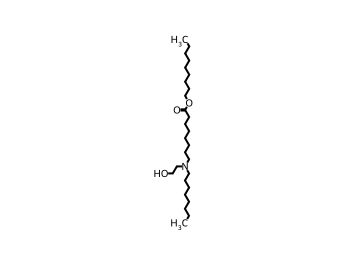 CCCCCCCCCOC(=O)CCCCCCCN(CCO)CCCCCCCC